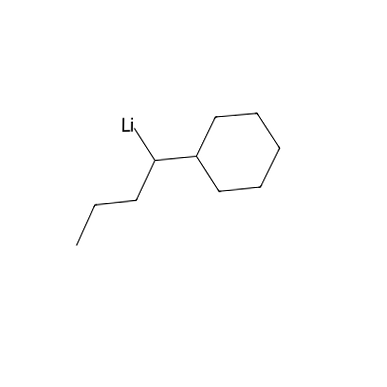 [Li][CH](CCC)C1CCCCC1